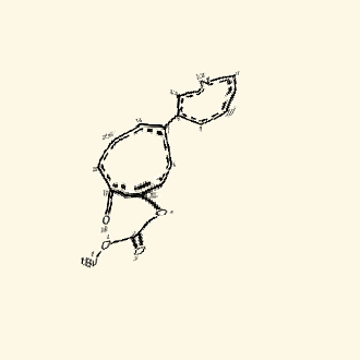 CC(C)(C)OC(=O)Oc1cc(-c2cccnc2)cccc1=O